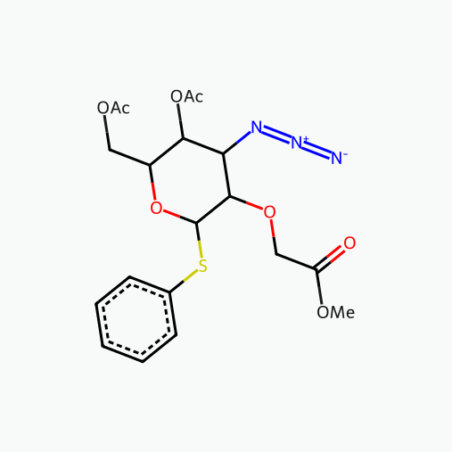 COC(=O)COC1C(Sc2ccccc2)OC(COC(C)=O)C(OC(C)=O)C1N=[N+]=[N-]